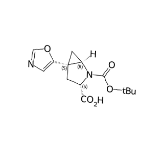 CC(C)(C)OC(=O)N1[C@H](C(=O)O)C[C@@]2(c3cnco3)C[C@@H]12